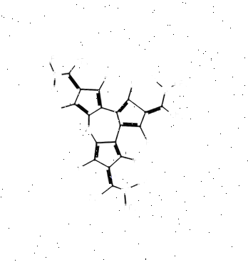 [O-][S+](/C(=c1\c(F)c2oc3c(F)/c(=C(/[S+]([O-])C(F)(F)F)C(F)(F)F)c(F)c3c3c(F)/c(=C(/[S+]([O-])C(F)(F)F)C(F)(F)F)c(F)c3c2c1F)C(F)(F)F)C(F)(F)F